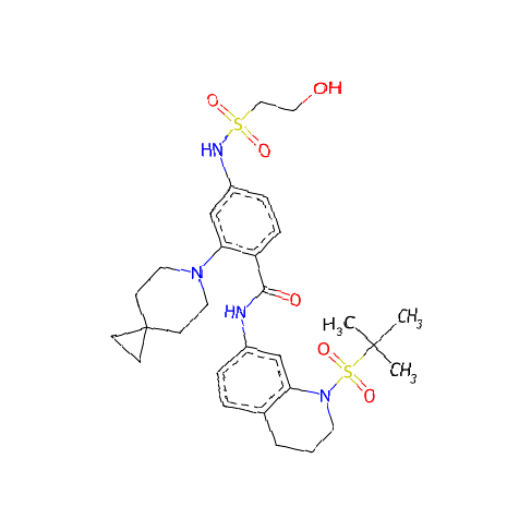 CC(C)(C)S(=O)(=O)N1CCCc2ccc(NC(=O)c3ccc(NS(=O)(=O)CCO)cc3N3CCC4(CC3)CC4)cc21